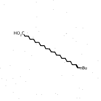 CCCCC=CCCCCCCCCCCCCCCCCCCCC(=O)O